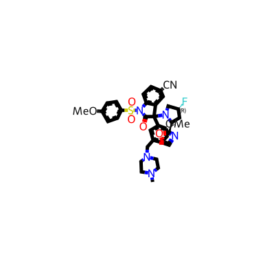 COc1ccc(S(=O)(=O)N2C(=O)C(c3cc(CN4CCN(C)CC4)ccc3OC)(N3C[C@H](F)C[C@H]3c3ncco3)c3cc(C#N)ccc32)cc1